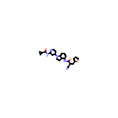 N#C/C(=C/c1cccs1)C(=O)Nc1cccc2c1ccn2-c1ccnc(NC(=O)C2CC2)c1